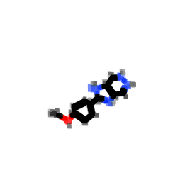 CC(C)Oc1ccc(-c2nc3cnncc3[nH]2)cc1